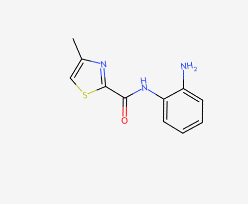 Cc1csc(C(=O)Nc2ccccc2N)n1